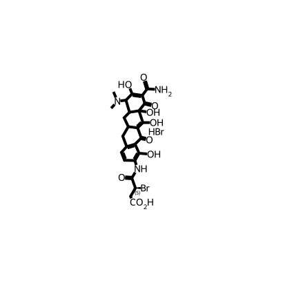 Br.CN(C)C1C(O)=C(C(N)=O)C(=O)C2(O)C(O)=C3C(=O)c4c(ccc(NC(=O)[C@@H](Br)CC(=O)O)c4O)CC3CC12